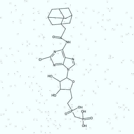 O=C(CC12CC3CC(CC(C3)C1)C2)Nc1nc(Cl)nc2c1ncn2C1OC(CCP(=O)(O)CP(=O)(O)O)C(O)C1O